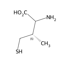 C[C@H](CS)C(N)C(=O)O